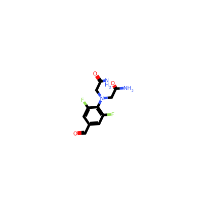 NC(=O)CN(CC(N)=O)c1c(F)cc(C=O)cc1F